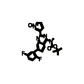 CN(C(=O)OC(C)(C)C)c1nc(-c2ccc[n+]([O-])c2)nc2cc(-c3cc(F)ccc3F)ccc12